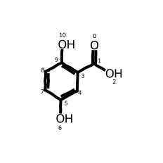 O=C(O)c1cc(O)c[c]c1O